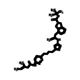 C=C(Cc1cccc2c1CN(C(=O)OC(C)(C)C)C2)Nc1nnc(CCCCc2ccc(NC(=O)C/C(C)=C/C)nn2)s1